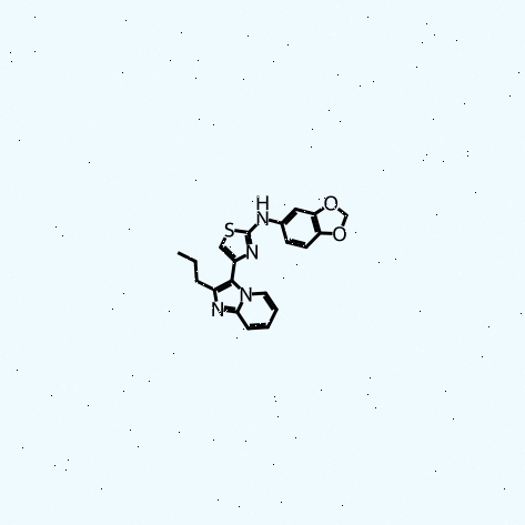 CCCc1nc2ccccn2c1-c1csc(Nc2ccc3c(c2)OCO3)n1